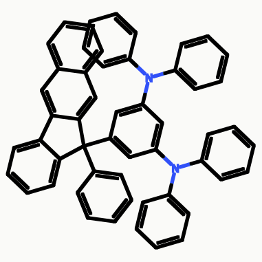 c1ccc(N(c2ccccc2)c2cc(N(c3ccccc3)c3ccccc3)cc(C3(c4ccccc4)c4ccccc4-c4cc5ccccc5cc43)c2)cc1